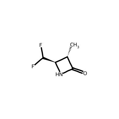 C[C@@H]1C(=O)N[C@H]1C(F)F